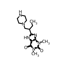 CCC(CN1CCNCC1)c1nc2c([nH]1)c(=O)n(C)c(=O)n2C